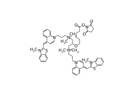 C[n+]1c(/C=C2\C=CN(CCC[N+](C)(C)CC(C[N+](C)(C)CCCN3C=C/C(=C\c4sc5ccccc5[n+]4C)c4ccccc43)OCCCCCC(=O)ON3C(=O)CCC3=O)c3ccccc32)sc2ccccc21